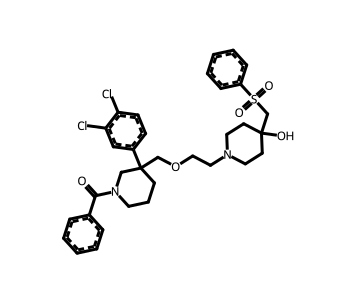 O=C(c1ccccc1)N1CCCC(COCCN2CCC(O)(CS(=O)(=O)c3ccccc3)CC2)(c2ccc(Cl)c(Cl)c2)C1